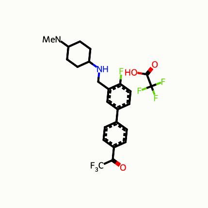 CNC1CCC(NCc2cc(-c3ccc(C(=O)C(F)(F)F)cc3)ccc2F)CC1.O=C(O)C(F)(F)F